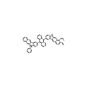 C=Cc1ccc2cc3c(cc2c1/C=C\C)sc1ccc(-c2c4ccccc4c(-c4ccc5c(c4)c4cc6ccccc6cc4n5-c4ccccc4)c4ccccc24)cc13